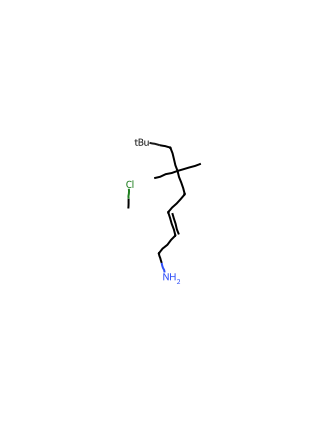 CC(C)(C)CC(C)(C)CC=CCN.CCl